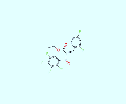 CCOC(=O)C(=Cc1ccc(F)cc1F)C(=O)c1cc(F)c(F)c(F)c1F